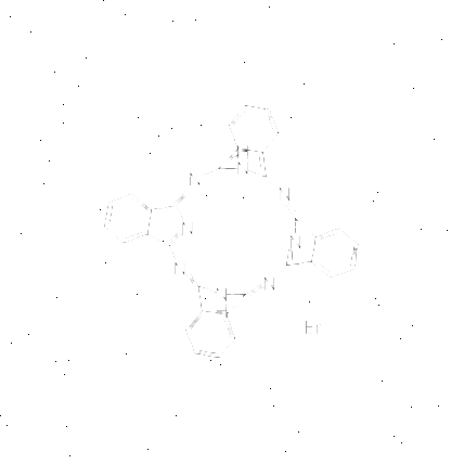 [Er].c1ccc2c(c1)-c1nc-2nc2[nH]c(nc3nc(nc4[nH]c(n1)c1ccccc41)-c1ccccc1-3)c1ccccc21